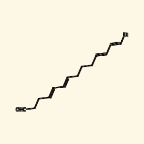 CC/C=C/C=C/CCC/C=C/C=C/CCC=O